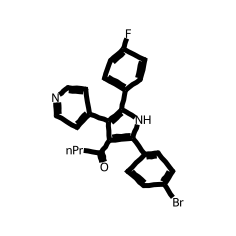 CCCC(=O)c1c(-c2ccc(Br)cc2)[nH]c(-c2ccc(F)cc2)c1-c1ccncc1